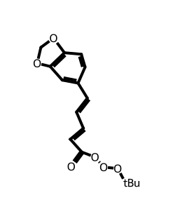 CC(C)(C)OOOC(=O)C=CC=Cc1ccc2c(c1)OCO2